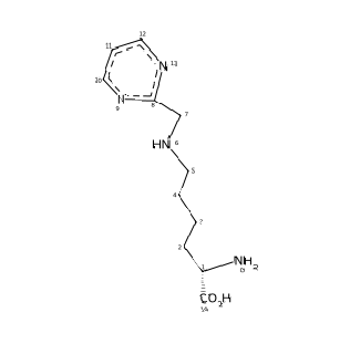 N[C@@H](CCCCNCc1ncccn1)C(=O)O